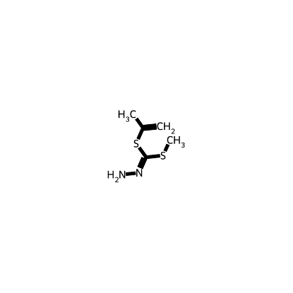 C=C(C)S/C(=N\N)SC